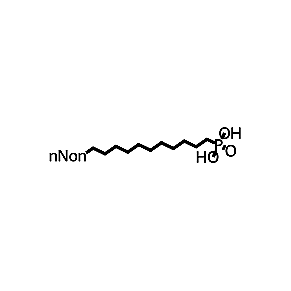 CCCCCCCCCCCCCCCCCCCCP(=O)(O)O